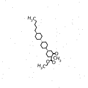 CCCCC[C@H]1CC[C@H](C2CCC([C@@H]3CC[C@](C)(C(=O)OCC)C(=O)C3)CC2)CC1